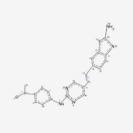 C[S+]([O-])c1ccc(Nc2ncc(/C=C/c3ccc4nc(N)sc4c3)cn2)cc1